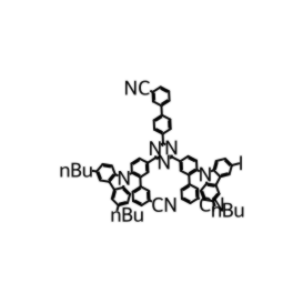 CCCCc1ccc2c(c1)c1cc(I)ccc1n2-c1ccc(-c2nc(-c3ccc(-c4cccc(C#N)c4)cc3)nc(-c3ccc(-n4c5ccc(CCCC)cc5c5cc(CCCC)ccc54)c(-c4cccc(C#N)c4)c3)n2)cc1-c1cccc(C#N)c1